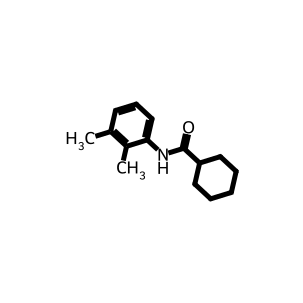 Cc1cccc(NC(=O)C2CCCCC2)c1C